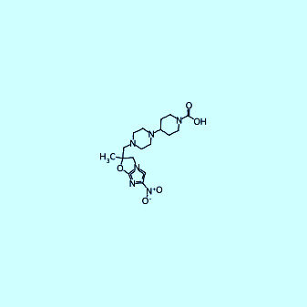 CC1(CN2CCN(C3CCN(C(=O)O)CC3)CC2)Cn2cc([N+](=O)[O-])nc2O1